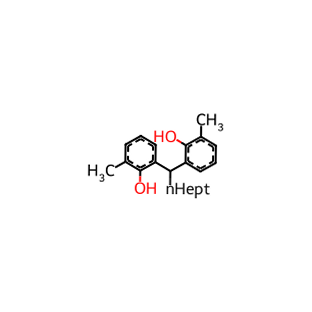 CCCCCCCC(c1cccc(C)c1O)c1cccc(C)c1O